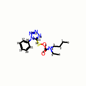 CCCCN(CC)C(=O)OSc1nnnn1-c1ccccc1